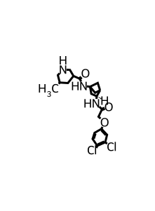 CC1CNCC(C(=O)NC23CC(C2)[C@@H](NC(=O)COc2ccc(Cl)c(Cl)c2)C3)C1